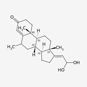 CC1C[C@@H]2[C@H](CC[C@]3(C)C(=CC(O)O)CC[C@@H]23)[C@@]2(C)CCC(=O)C=C12